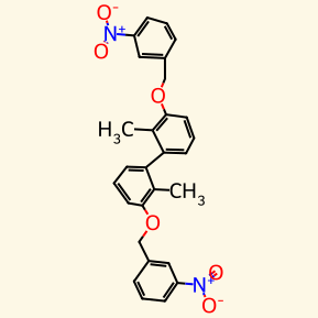 Cc1c(OCc2cccc([N+](=O)[O-])c2)cccc1-c1cccc(OCc2cccc([N+](=O)[O-])c2)c1C